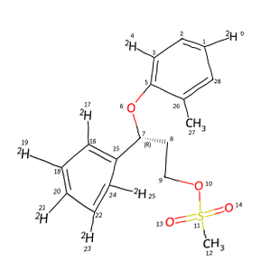 [2H]c1cc([2H])c(O[C@H](CCOS(C)(=O)=O)c2c([2H])c([2H])c([2H])c([2H])c2[2H])c(C)c1